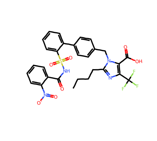 CCCCc1nc(C(F)(F)F)c(C(=O)O)n1Cc1ccc(-c2ccccc2S(=O)(=O)NC(=O)c2ccccc2[N+](=O)[O-])cc1